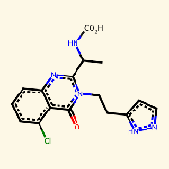 CC(NC(=O)O)c1nc2cccc(Cl)c2c(=O)n1CCc1ccn[nH]1